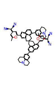 CC1=CC(=C(C#N)C#N)C=C(c2cc3c4c(c(-c5cc6c7c(c5)CCCN7CCC6)ccc4c2)CC2(Cc4cc(-c5cc6c7c(c5)CCCN7CCC6)cc5ccc(C6=CC(=C(C#N)C#N)C=C(C)O6)c(c45)C2)C3)O1